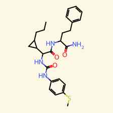 CCCC1CC1C(NC(=O)Nc1ccc(SC)cc1)C(=O)NC(CCc1ccccc1)C(N)=O